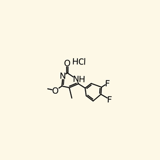 COc1nc(=O)[nH]c(-c2ccc(F)c(F)c2)c1C.Cl